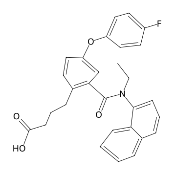 CCN(C(=O)c1cc(Oc2ccc(F)cc2)ccc1CCCC(=O)O)c1cccc2ccccc12